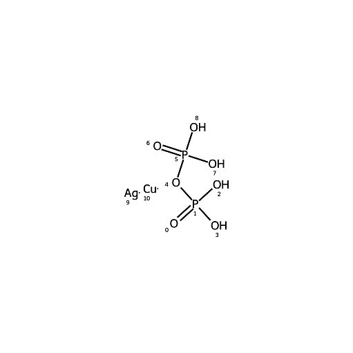 O=P(O)(O)OP(=O)(O)O.[Ag].[Cu]